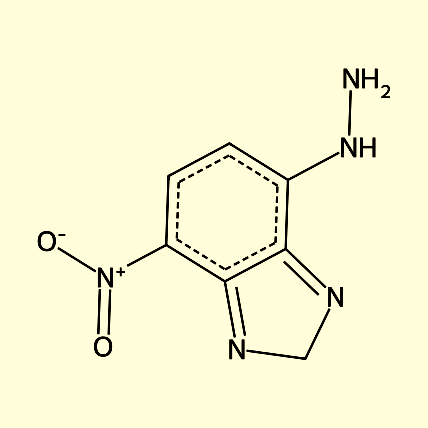 NNc1ccc([N+](=O)[O-])c2c1=NCN=2